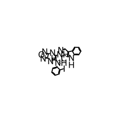 Cc1[nH]c2ccccc2c1/C=N\Nc1nc2nonc2nc1Nc1ccccc1I